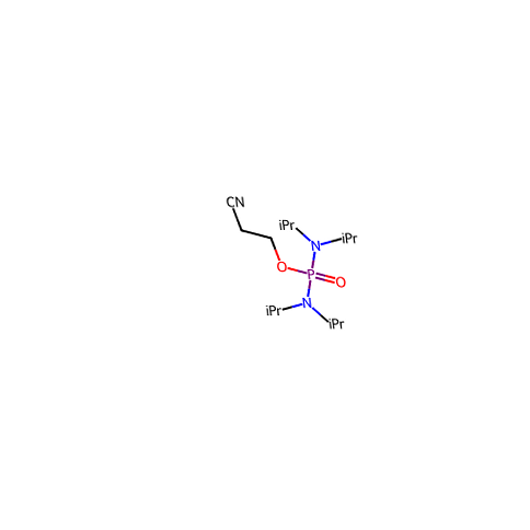 CC(C)N(C(C)C)P(=O)(OCCC#N)N(C(C)C)C(C)C